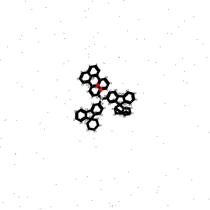 c1ccc(-c2cccc3cccc(-c4ccc(N(c5ccc6c(c5)-c5ccccc5C65CCCCC5)c5ccc6c(c5)C5(c7ccccc7-6)C6CC7CC(C6)C5C7)cc4)c23)cc1